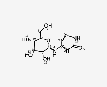 O=c1nc(N[C@@H]2O[C@H](CO)[C@@H](O)[C@H](O)[C@H]2O)cc[nH]1